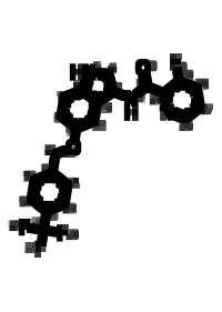 O=C(Nc1c[nH]c2ccc(OCc3ccc(C(F)(F)F)cc3)cc12)c1ncccc1F